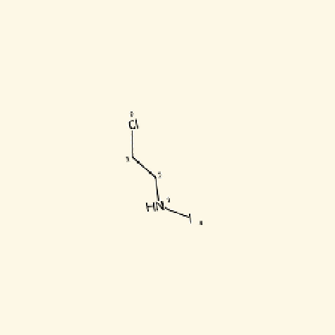 ClCCNI